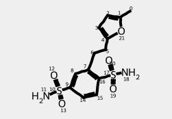 Cc1ccc(CCc2cc(S(N)(=O)=O)ccc2S(N)(=O)=O)o1